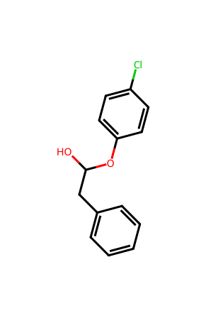 OC(Cc1ccccc1)Oc1ccc(Cl)cc1